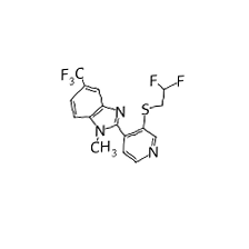 Cn1c(-c2ccncc2SCC(F)F)nc2cc(C(F)(F)F)ccc21